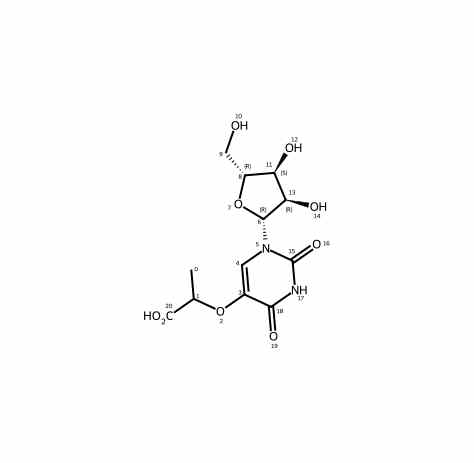 CC(Oc1cn([C@@H]2O[C@H](CO)[C@@H](O)[C@H]2O)c(=O)[nH]c1=O)C(=O)O